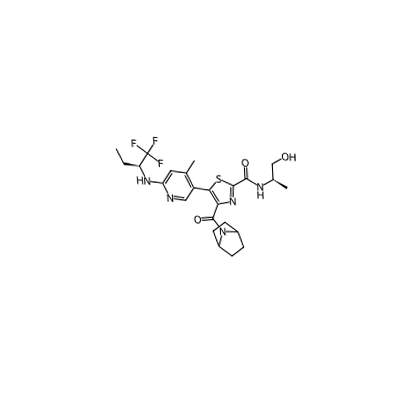 CC[C@H](Nc1cc(C)c(-c2sc(C(=O)N[C@H](C)CO)nc2C(=O)N2C3CCC2CC3)cn1)C(F)(F)F